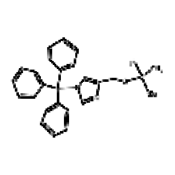 CC(C)(C)[Si](C)(C)OCc1cn(C(c2ccccc2)(c2ccccc2)c2ccccc2)cn1